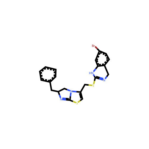 Brc1ccc2c(c1)NC(SCC1=CSC3=NC(Cc4ccccc4)CN13)=NC2